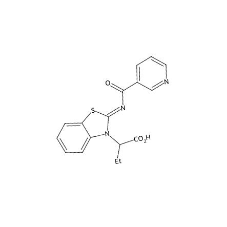 CCC(C(=O)O)n1c(=NC(=O)c2cccnc2)sc2ccccc21